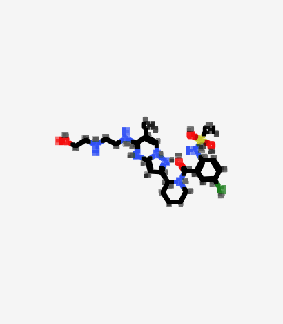 Cc1cn2nc([C@@H]3CCCCN3C(=O)c3cc(Cl)ccc3NS(C)(=O)=O)cc2nc1NCCNCCO